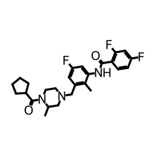 Cc1c(CN2CCN(C(=O)C3CCCC3)C(C)C2)cc(F)cc1NC(=O)c1ccc(F)cc1F